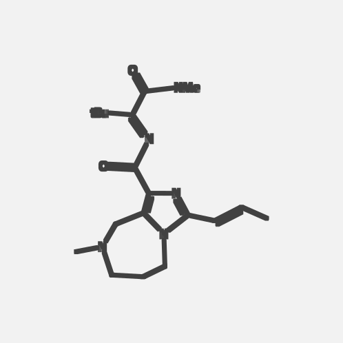 C/C=C/c1nc(C(=O)/N=C(/C(=O)NC)C(C)(C)C)c2n1CCCN(C)C2